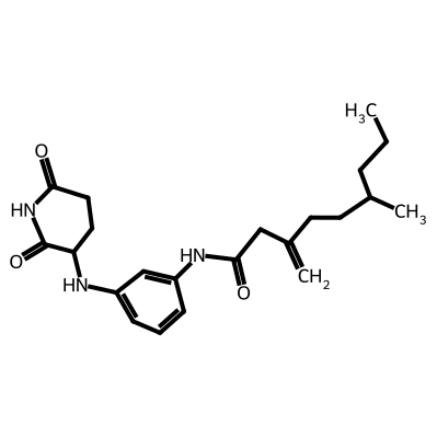 C=C(CCC(C)CCC)CC(=O)Nc1cccc(NC2CCC(=O)NC2=O)c1